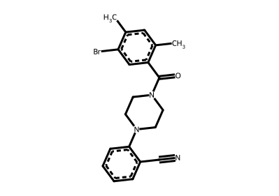 Cc1cc(C)c(C(=O)N2CCN(c3ccccc3C#N)CC2)cc1Br